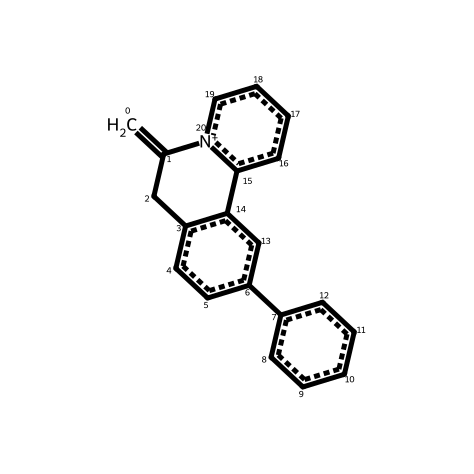 C=C1Cc2ccc(-c3ccccc3)cc2-c2cccc[n+]21